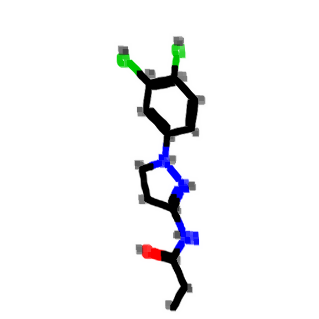 CCC(=O)NC1=NN(c2ccc(Cl)c(Cl)c2)CC1